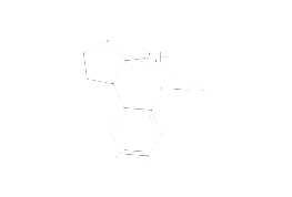 NC1CCCC1c1cc[c]cc1OC(F)(F)F